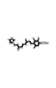 COc1cc(C)c(C=CC(C)=CC=CC(C)=CCn2ccnc2)c(C)c1C